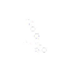 COC(=O)Nc1ccc(-c2cc([C@H](CC(=O)N3CC(F)(F)C3)NC(=O)/C=C/c3cc(Cl)ccc3-n3cnnn3)n[nH]c2=O)cc1